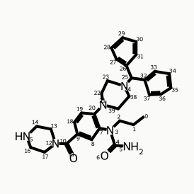 CCCN(C(N)=O)c1cc(C(=O)N2CCNCC2)ccc1N1CCN(C(c2ccccc2)c2ccccc2)CC1